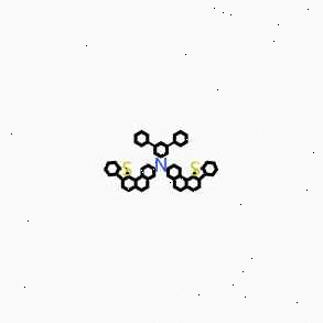 c1ccc(-c2cc(-c3ccccc3)cc(N(c3ccc4c(ccc5ccc6c7ccccc7sc6c54)c3)c3ccc4c(ccc5ccc6c7ccccc7sc6c54)c3)c2)cc1